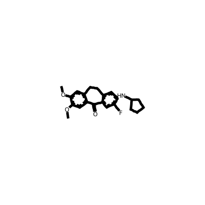 COc1cc2c(cc1OC)C(=O)c1cc(F)c(NC3CCCC3)cc1CC2